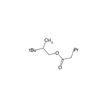 CC(C)CC(=O)OCC(C)C(C)(C)C